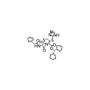 O=C(Cc1cccs1)N[C@@H]1C(=O)N2C(C(=O)OC(c3ccccc3)c3ccccc3)=C(Sc3nnc[nH]3)CS[C@H]12